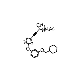 CC(=O)NC(C)C#Cc1cnc(Oc2cccc(OCC3CCCCC3)c2)s1